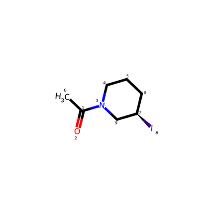 CC(=O)N1CCC[C@@H](I)C1